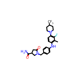 Cc1c(Nc2ccc(CN3CC(C(N)=O)CC3=O)cc2)ccc(N2CCC(C(F)(F)F)CC2)c1F